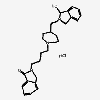 Cl.O=C1c2ccccc2CN1CCCCN1CCC(CN2Cc3ccccc3C2O)CC1